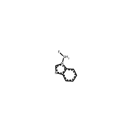 F[SiH2]n1cnc2ccccc21